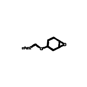 CCCCCCOC1CCC2OC2C1